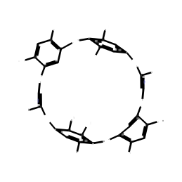 OC1=CC2C/C(Cl)=C\Cc3cc(c(Cl)cc3O)Oc3c(O)cc(cc3O)C/C(Cl)=C\Cc3cc(c(Cl)cc3O)OC1=C(O)C2Br